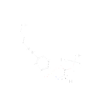 CCCCC#Cc1ccc(S(=O)(=O)N[C@H](C)C(=O)OC(C)(C)C)cc1